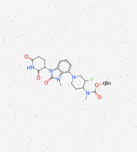 CN(C(=O)OC(C)(C)C)C1CCN(c2cccc3c2n(C)c(=O)n3C2CCC(=O)NC2=O)CC1F